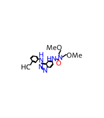 C#Cc1cccc(Nc2ncnc3ccc(NC(=O)N(CCOC)CCOC)cc23)c1